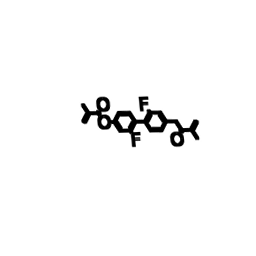 C=C(C)C(=O)Cc1ccc(-c2ccc(OC(=O)C(=C)C)cc2F)c(F)c1